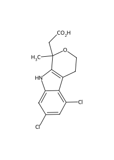 CC1(CC(=O)O)OCCc2c1[nH]c1cc(Cl)cc(Cl)c21